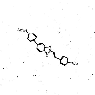 CC(=O)Nc1ccc(-c2ccc3[nH]c(C=Cc4ccc(C(C)(C)C)cc4)nc3c2)cc1